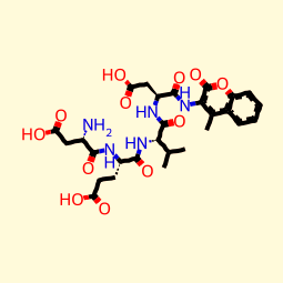 Cc1c(NC(=O)[C@H](CC(=O)O)NC(=O)[C@@H](NC(=O)[C@H](CCC(=O)O)NC(=O)[C@@H](N)CC(=O)O)C(C)C)c(=O)oc2ccccc12